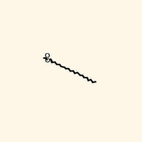 CCCCCCCCCCCCCCCCCCC/C=C/OC(C)=O